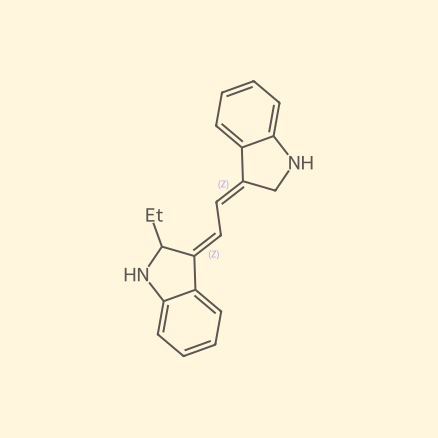 CCC1Nc2ccccc2/C1=C/C=C1\CNc2ccccc21